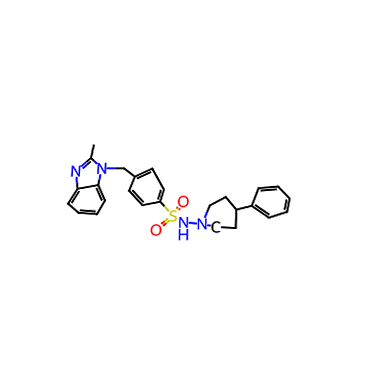 Cc1nc2ccccc2n1Cc1ccc(S(=O)(=O)NN2CCC(c3ccccc3)CC2)cc1